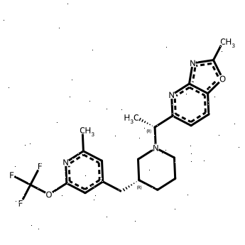 Cc1cc(C[C@H]2CCCN([C@H](C)c3ccc4oc(C)nc4n3)C2)cc(OC(F)(F)F)n1